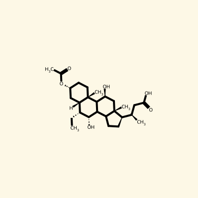 CC[C@H]1[C@@H](O)C2C3CC[C@H]([C@H](C)CC(=O)O)[C@@]3(C)C[C@H](O)C2[C@@]2(C)CC[C@@H](OC(C)=O)C[C@@H]12